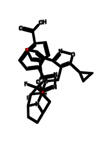 O=C(O)c1ccc(-c2nnc(N3C4CCC3CC(OCc3c(-c5ccccc5OC(F)(F)F)noc3C3CC3)C4)o2)cn1